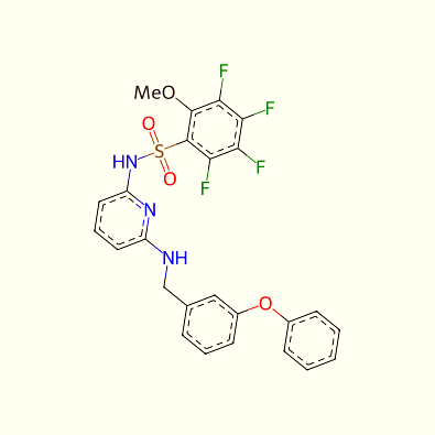 COc1c(F)c(F)c(F)c(F)c1S(=O)(=O)Nc1cccc(NCc2cccc(Oc3ccccc3)c2)n1